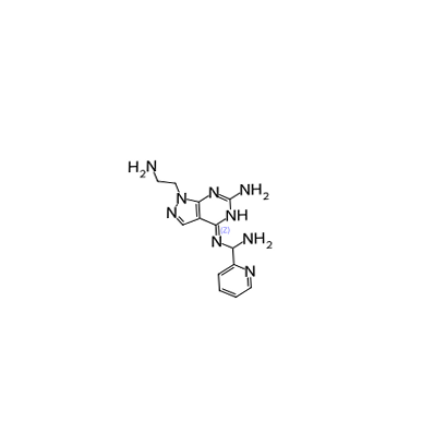 NCCn1ncc2/c(=N/C(N)c3ccccn3)[nH]c(N)nc21